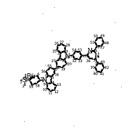 CC(C)(C)[Si](C)(C)c1ccc(-n2c3ccccc3c3cc(-c4ccc5c(c4)c4ccccc4n5-c4ccc(-c5cc(-c6ccccc6)nc(-c6ccccc6)n5)cc4)ccc32)cc1